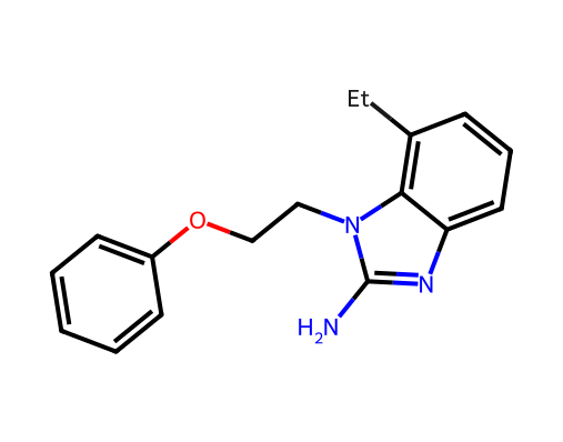 CCc1cccc2nc(N)n(CCOc3ccccc3)c12